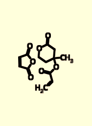 C=CC(=O)OC1(C)CCOC(=O)C1.O=C1C=CC(=O)O1